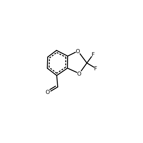 O=Cc1cccc2c1OC(F)(F)O2